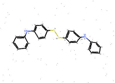 c1ccc(Nc2ccc(SSc3ccc(Nc4ccccc4)cc3)cc2)cc1